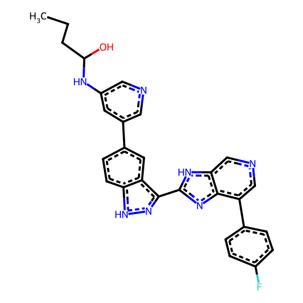 CCCC(O)Nc1cncc(-c2ccc3[nH]nc(-c4nc5c(-c6ccc(F)cc6)cncc5[nH]4)c3c2)c1